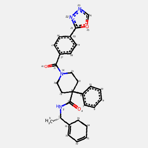 C[C@H](NC(=O)C1(c2ccccc2)CCN(C(=O)c2ccc(-c3nnco3)cc2)CC1)C1=CC=CCC1